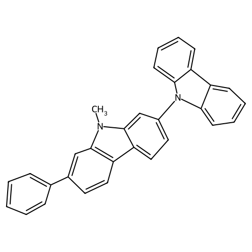 Cn1c2cc(-c3ccccc3)ccc2c2ccc(-n3c4ccccc4c4ccccc43)cc21